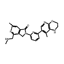 CNCc1nc(C)cc2c1CN(c1cccc(-c3cnc4c(c3C)NCCO4)n1)C2=O